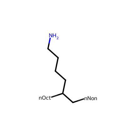 CCCCCCCCCCC(CCCCN)CCCCCCCC